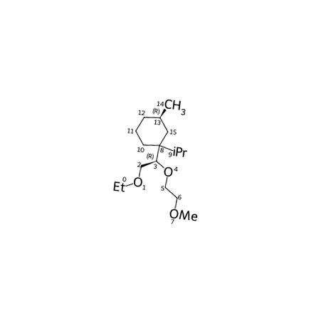 [CH2]COC[C@H](OCCO[CH2])C1(C(C)C)CCC[C@@H](C)C1